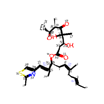 C/C=C/C/C(C)=C\C[C@H](OC(=O)C[C@H](O)C(C)(C)C(=O)[C@H](C)[C@@H](O)CC)/C(C)=C/c1csc(C)n1